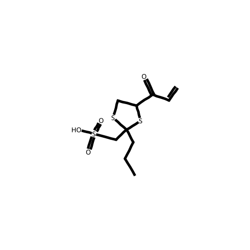 C=CC(=O)C1CSC(CCC)(CS(=O)(=O)O)S1